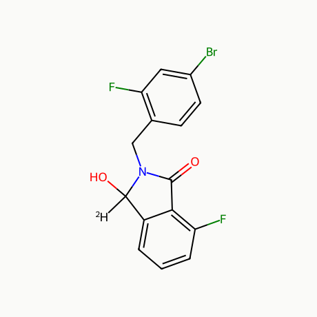 [2H]C1(O)c2cccc(F)c2C(=O)N1Cc1ccc(Br)cc1F